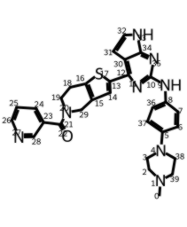 CN1CCN(c2ccc(Nc3nc(-c4cc5c(s4)CCN(C(=O)c4cccnc4)C5)c4cc[nH]c4n3)cc2)CC1